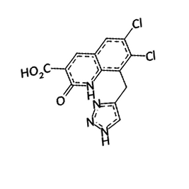 O=C(O)c1cc2cc(Cl)c(Cl)c(Cc3c[nH]nn3)c2[nH]c1=O